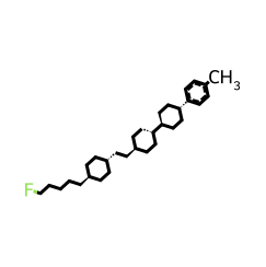 Cc1ccc([C@H]2CC[C@H]([C@H]3CC[C@H](CC[C@H]4CC[C@H](CCCCCF)CC4)CC3)CC2)cc1